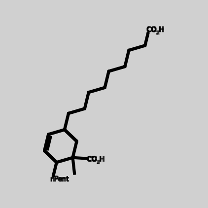 CCCCCC1C=CC(CCCCCCCCC(=O)O)CC1(C)C(=O)O